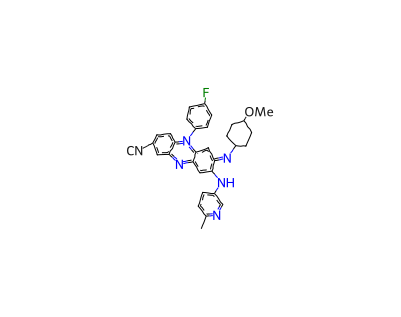 [C-]#[N+]c1ccc2c(c1)nc1cc(Nc3ccc(C)nc3)/c(=N/C3CCC(OC)CC3)cc-1n2-c1ccc(F)cc1